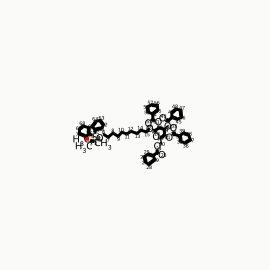 CC(C)(C)[Si](OCCCCCCCCCCO[C@@H]1O[C@H](COC(=O)c2ccccc2)[C@@H](OC(=O)c2ccccc2)[C@H](OC(=O)c2ccccc2)[C@H]1OC(=O)c1ccccc1)(c1ccccc1)c1ccccc1